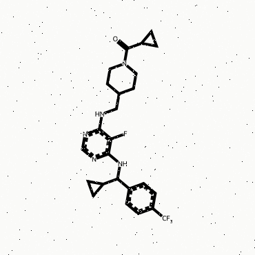 O=C(C1CC1)N1CCC(CNc2ncnc(NC(c3ccc(C(F)(F)F)cc3)C3CC3)c2F)CC1